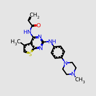 C=CC(=O)Nc1nc(Nc2ccc(N3CCN(C)CC3)cc2)nc2scc(C)c12